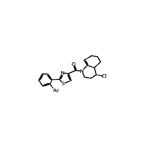 CC(=O)c1ccccc1-c1nc(C(=O)N2CCC(Cl)C3CCCC=C32)cs1